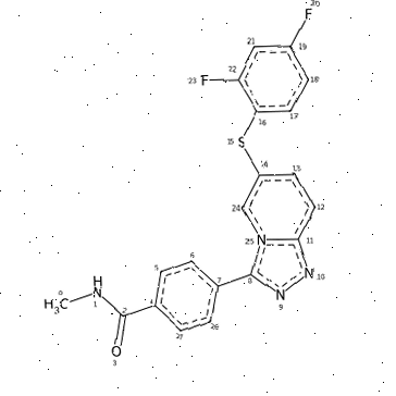 CNC(=O)c1ccc(-c2nnc3ccc(Sc4ccc(F)cc4F)cn23)cc1